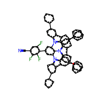 N#Cc1cc(F)c(-c2cc(-n3c4ccc(-c5ccccc5)cc4c4cc(-c5ccccc5)ccc43)c(-n3c4ccc(-c5ccccc5)cc4c4cc(-c5ccccc5)ccc43)c(-n3c4ccc(-c5ccccc5)cc4c4cc(-c5ccccc5)ccc43)c2)c(F)c1F